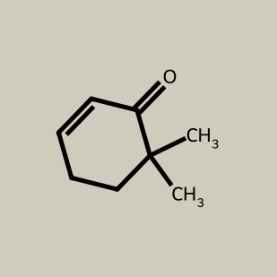 CC1(C)CCC=CC1=O